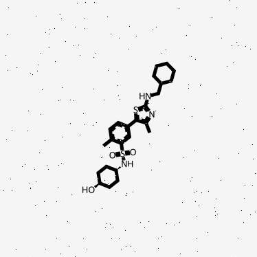 Cc1ccc(-c2sc(NCC3CCCCC3)nc2C)cc1S(=O)(=O)N[C@H]1CC[C@H](O)CC1